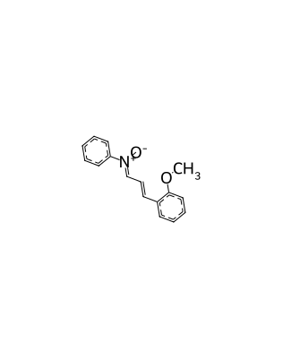 COc1ccccc1C=CC=[N+]([O-])c1ccccc1